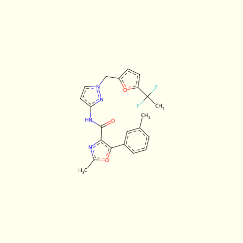 Cc1cccc(-c2oc(C)nc2C(=O)Nc2ccn(Cc3ccc(C(C)(F)F)o3)n2)c1